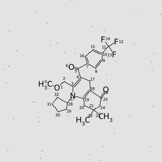 COCC1=C(C(=O)c2ccc(C(F)(F)F)cc2)CC2=C(CC(C)(C)CC2=O)N1C1CCCC1